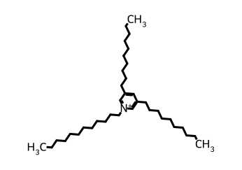 CCCCCCCCCCCC[n+]1cc(CCCCCCCCCC)cc(CCCCCCCCCC)c1